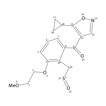 COCCOc1cccc(C(=O)c2cnoc2C2CC2)c1C[S+]=O